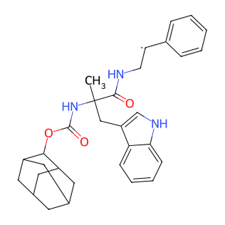 CC(Cc1c[nH]c2ccccc12)(NC(=O)OC1C2CC3CC(C2)CC1C3)C(=O)NC[CH]c1ccccc1